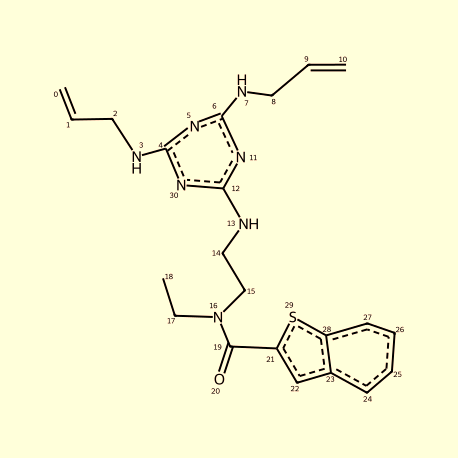 C=CCNc1nc(NCC=C)nc(NCCN(CC)C(=O)c2cc3ccccc3s2)n1